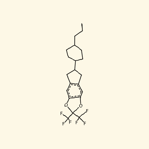 CCCC1CCC(C2Cc3cc4c(cc3C2)OC(C(F)(F)F)(C(F)(F)F)O4)CC1